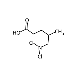 CC(CCC(=O)O)CN(Cl)Cl